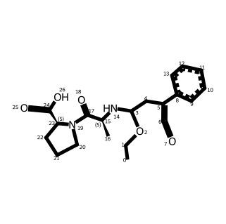 CCOC(CC(=C=O)c1ccccc1)N[C@@H](C)C(=O)N1CCC[C@H]1C(=O)O